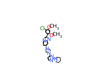 COc1cc(OC)c(-c2cn3ccc(N4CCN(c5ccnc(N6CCCCC6)n5)CC4)cc3n2)cc1Cl